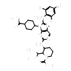 CC(C)C1C(Nc2ncc3nc(Nc4c(F)cc(Cl)cc4F)n(C4CCC(C(N)=O)CC4)c3n2)CCCN1C(=O)O